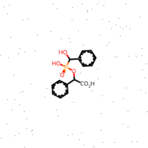 O=C(O)C(OP(=O)(O)C(O)c1ccccc1)c1ccccc1